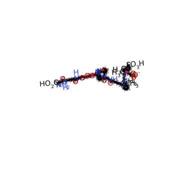 CC1(C)C(/C=C/C=C/C=C2\N(CCCS(=O)(=O)[O-])c3ccc(S(=O)(=O)O)cc3C2(C)C)=[N+](CCCCCCC(=O)NCCC(=O)N2Cc3ccccc3-c3nnn(CCOCCOCCOCCNC(=O)CCCCCNC(=O)CC[C@H](N)C(=O)O)c3-c3ccccc32)c2ccccc21